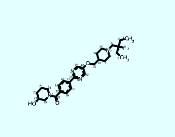 CCC(F)(CC)CN1CCC(COc2cnc(-c3ccc(C(=O)N4CCCC(O)C4)cc3)nc2)CC1